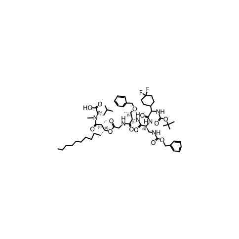 CCCCCCCCCC[C@@H](OC(=O)CNC(=O)[C@@H](NC(=O)[C@H](CNC(=O)OCc1ccccc1)NC(=O)C(NC(=O)OC(C)(C)C)C1CCC(F)(F)CC1)[C@H](C)OCc1ccccc1)[C@@H](C)C(=O)N(C)[C@@H](CC(C)C)C(=O)O